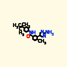 Cc1ccc(C(=O)Nc2ccc(C(C)(C)C)cc2)cc1-c1cnc(N)nc1